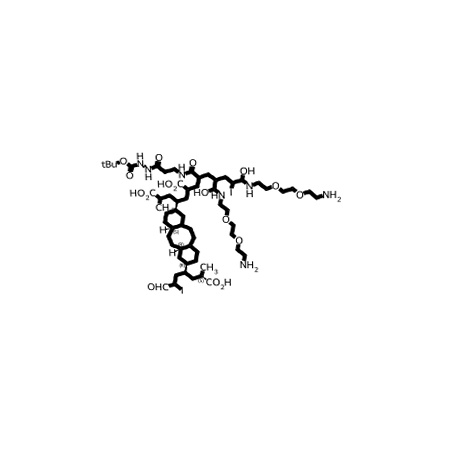 CC(CC(CC(CC(CC(CC(I)C(O)NCCOCCOCCN)C(O)NCCOCCOCCN)C(=O)NCCC(=O)NNC(=O)OC(C)(C)C)C(=O)O)[C@@H]1CC[C@@H]2CC[C@@H]3C[C@H](C(CC(I)C=O)C[C@H](C)C(=O)O)CCC3CCC2C1)C(=O)O